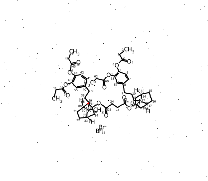 CCC(=O)Oc1ccc(CCC[N+]2(C)[C@@H]3CC[C@H]2CC(OC(=O)CCC(=O)OC2C[C@H]4CC[C@@H](C2)[N+]4(C)CCCc2ccc(OC(=O)CC)c(OC(=O)CC)c2)C3)cc1OC(=O)CC.[Br-].[Br-]